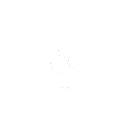 CCC(=O)c1ccc(Br)cc1C(F)(F)F